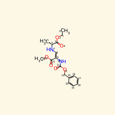 CCOC(=O)[C@H](C)N/C=C(/NC(=O)OCc1ccccc1)C(=O)OC